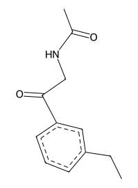 CCc1cccc(C(=O)CNC(C)=O)c1